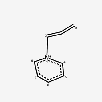 C=C=C[n+]1ccccc1